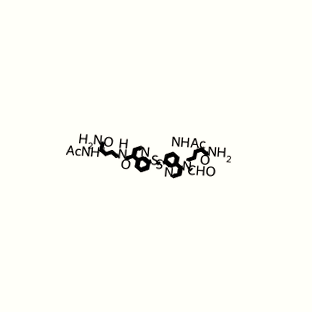 CC(=O)N[C@@H](CCCNC(=O)c1ccnc2c(SSc3cccc4c(N(C=O)CCC[C@H](NC(C)=O)C(N)=O)ccnc34)cccc12)C(N)=O